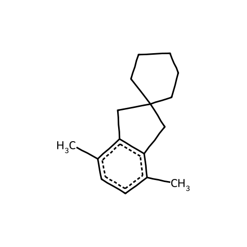 Cc1ccc(C)c2c1CC1(CCCCC1)C2